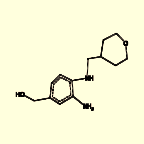 Nc1cc(CO)ccc1NCC1CCOCC1